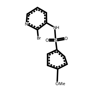 COc1ccc(S(=O)(=O)Nc2cccnc2Br)cc1